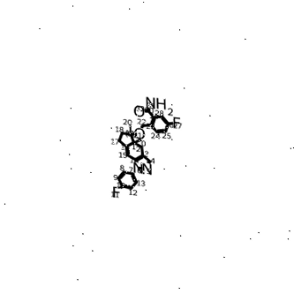 CC12Cc3cnn(-c4ccc(F)cc4)c3C=C1CC[C@]2(C)OCc1ccc(F)cc1C(N)=O